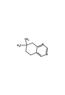 CC1(C)CCc2cncnc2C1